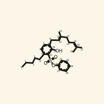 CCCCCc1ccc(C/C=C(\C)CCC=C(C)C)c(O)c1S(=O)(=O)Oc1ccccc1